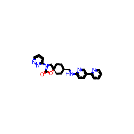 O=C1O[C@]2(CC[C@H](CNc3ccc(-c4ccccn4)cn3)CC2)CN1c1cccnn1